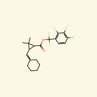 CC1(C)C(C=C2CCCCC2)C1C(=O)OC(F)(F)c1ccc(F)c(F)c1F